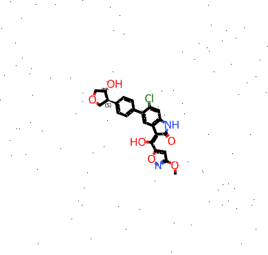 COc1cc(C(O)=C2C(=O)Nc3cc(Cl)c(-c4ccc([C@H]5COC[C@@H]5O)cc4)cc32)on1